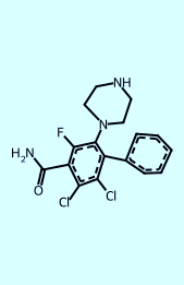 NC(=O)c1c(F)c(N2CCNCC2)c(-c2ccccc2)c(Cl)c1Cl